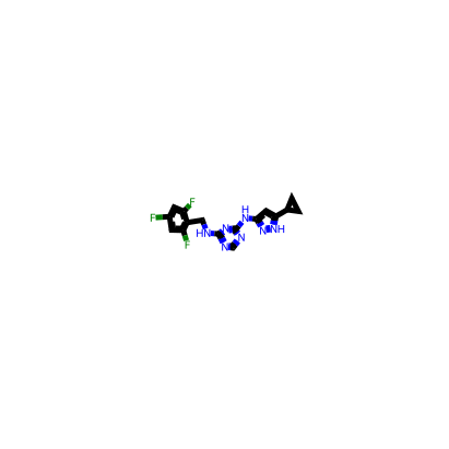 Fc1cc(F)c(CNc2ncnc(Nc3cc(C4CC4)[nH]n3)n2)c(F)c1